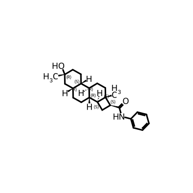 C[C@@]1(O)CC[C@H]2[C@H](CC[C@@H]3[C@@H]2CC[C@]2(C)[C@@H](C(=O)Nc4ccccc4)C[C@@H]32)C1